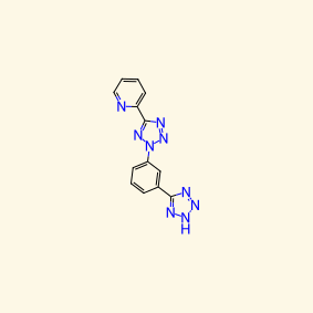 c1ccc(-c2nnn(-c3cccc(-c4nn[nH]n4)c3)n2)nc1